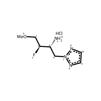 COC[C@H](F)[C@H](N)Cn1nccn1.Cl